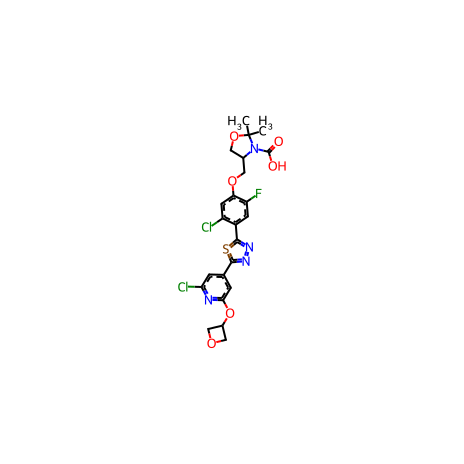 CC1(C)OCC(COc2cc(Cl)c(-c3nnc(-c4cc(Cl)nc(OC5COC5)c4)s3)cc2F)N1C(=O)O